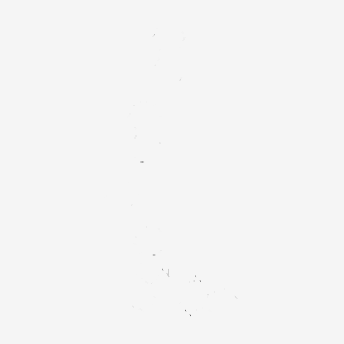 c1cc(-c2ccc3cc(-c4ccc5ccccc5c4)ccc3c2)cc(-c2ccc3c(c2)c2cccc4c5nc6ccccc6nc5n3c24)c1